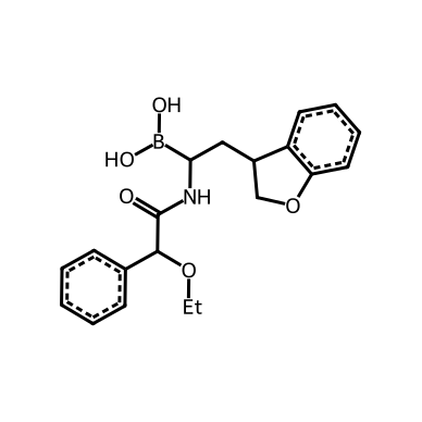 CCOC(C(=O)NC(CC1COc2ccccc21)B(O)O)c1ccccc1